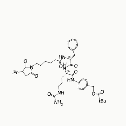 CC(C)C1CC(=O)N(CCCCCC(=O)N[C@@H](Cc2ccccc2)C(=O)N[C@@H](CCCNC(N)=O)C(=O)Nc2ccc(COC(=O)C(C)(C)C)cc2)C1=O